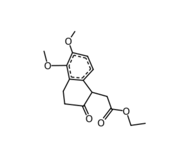 CCOC(=O)CC1C(=O)CCc2c1ccc(OC)c2OC